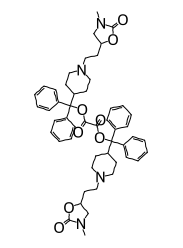 CN1CC(CCN2CCC(C(OC(=O)C(=O)OC(c3ccccc3)(c3ccccc3)C3CCN(CCC4CN(C)C(=O)O4)CC3)(c3ccccc3)c3ccccc3)CC2)OC1=O